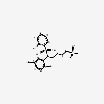 CS(=O)(=O)CCCCC(c1cc(F)ccc1F)S(=O)(=O)c1ccccc1F